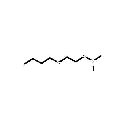 CCCCOCCO[SiH](C)C